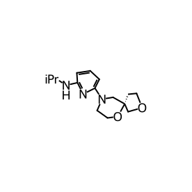 CC(C)Nc1cccc(N2CCO[C@@]3(CCOC3)C2)n1